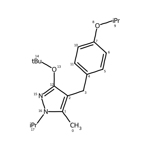 Cc1c(Cc2ccc(OC(C)C)cc2)c(OC(C)(C)C)nn1C(C)C